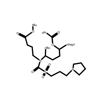 CCCCCCCC(CCC(CCCC)N(CCCC(=O)OC(C)(C)C)C(=O)S(=O)(=O)CCCN1CCCC1)OC(=O)CCC